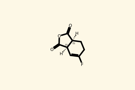 O=C1OC(=O)[C@@H]2C=C(F)CC[C@H]12